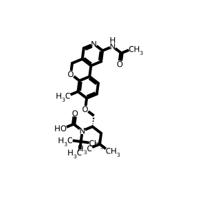 CC(=O)Nc1cc2c(cn1)COc1c-2ccc(OC[C@H](CC(C)C)N(C(=O)O)C(C)(C)C)c1C